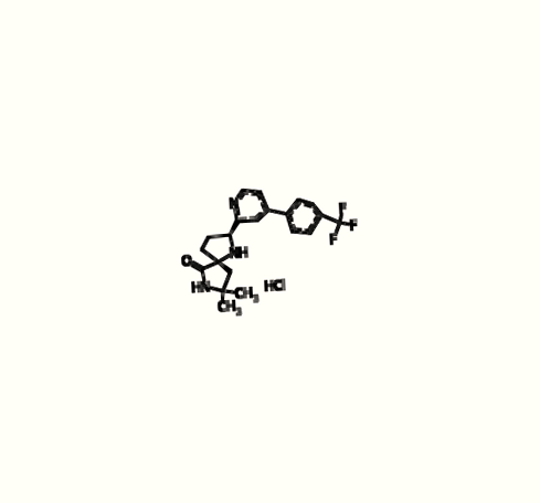 CC1(C)C[C@]2(CC[C@@H](c3cc(-c4ccc(C(F)(F)F)cc4)ccn3)N2)C(=O)N1.Cl